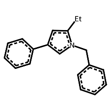 CCc1cc(-c2ccccc2)cn1Cc1ccccc1